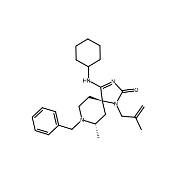 C=C(C)CN1C(=O)N=C(NC2CCCCC2)[C@]12CCN(Cc1ccccc1)[C@@H](C)C2